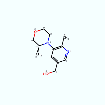 Cc1ncc(CO)cc1N1CCOC[C@@H]1C